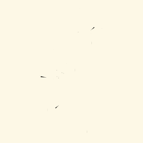 C[C@H](C(=O)O)[C@H](c1ccc2c(c1)OC1(CC2)[C@@H]2CC[C@H]1CN([C@H](C)c1cc(C(F)(F)F)ccc1C(F)(F)F)C2)C1CC1